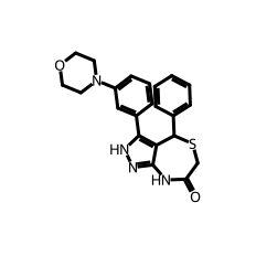 O=C1CSC(c2ccccc2)c2c(n[nH]c2-c2cccc(N3CCOCC3)c2)N1